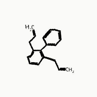 C=CCc1[c]ccc(CC=C)c1-c1ccccc1